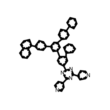 c1ccc(-c2ccc(-c3cc(-c4ccc(-c5cccc6ccccc56)cc4)cc(-c4ccc(-c5nc(-c6ccncc6)nc(-c6ccncc6)n5)cc4-c4ccccc4)c3)cc2)cc1